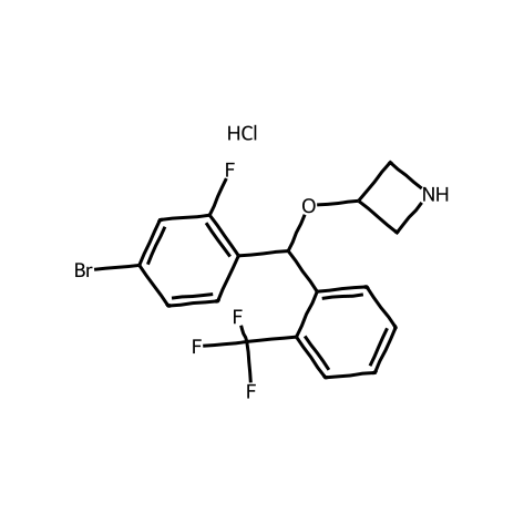 Cl.Fc1cc(Br)ccc1C(OC1CNC1)c1ccccc1C(F)(F)F